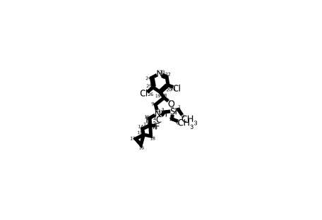 CC[Si](CC)(CC)OC(CNCC1(F)CC2(CC2)C1)c1c(Cl)cncc1Cl